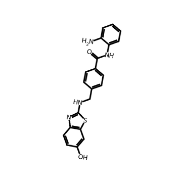 Nc1ccccc1NC(=O)c1ccc(CNc2nc3ccc(O)cc3s2)cc1